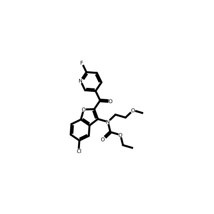 CCOC(=O)N(CCOC)c1c(C(=O)c2ccc(F)nc2)oc2ccc(Cl)cc12